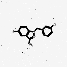 Nc1nn(Cc2cccc(Cl)c2)c2ccc(F)cc12